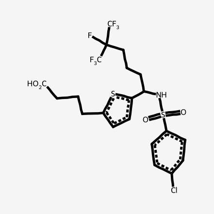 O=C(O)CCCc1ccc(C(CCCC(F)(C(F)(F)F)C(F)(F)F)NS(=O)(=O)c2ccc(Cl)cc2)s1